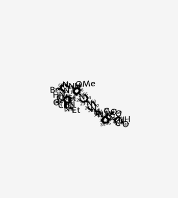 CCc1ncc2c(P(C)(C)=O)c(Nc3nc(Nc4cc(CC)c(N5CCC(N6CCN(C7CN(c8cccc9c8n(C)c(=O)n9C8CCC(=O)NC8=O)C7)CC6)CC5)cc4OC)ncc3Br)ccc2n1